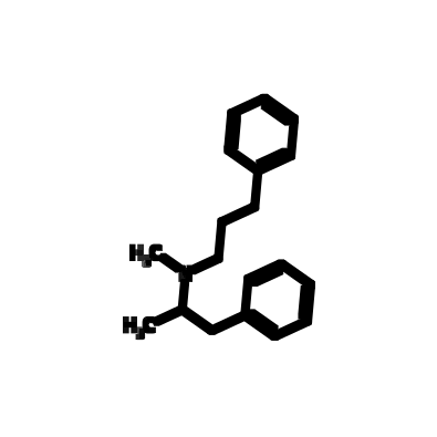 CC(Cc1ccccc1)N(C)CCCc1ccccc1